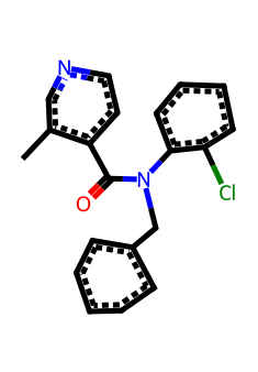 Cc1cnccc1C(=O)N(Cc1ccccc1)c1ccccc1Cl